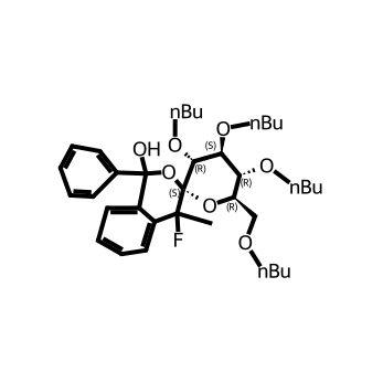 CCCCOC[C@H]1O[C@]2(OC(O)(c3ccccc3)c3ccccc3C2(C)F)[C@H](OCCCC)[C@@H](OCCCC)[C@@H]1OCCCC